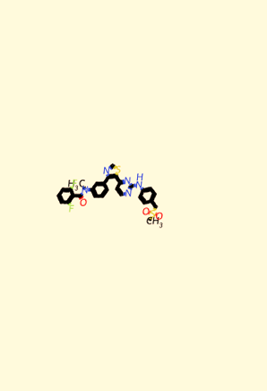 CN(C(=O)c1c(F)cccc1F)c1cccc(-c2ncsc2-c2ccnc(Nc3ccc(CS(C)(=O)=O)cc3)n2)c1